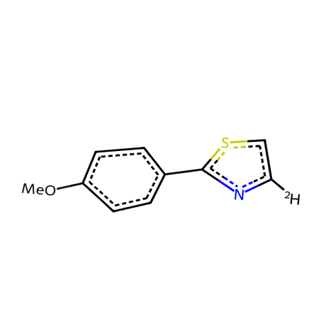 [2H]c1csc(-c2ccc(OC)cc2)n1